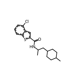 CC1CCC(CC(C)NC(=O)c2cc3c(Cl)cccc3s2)CC1